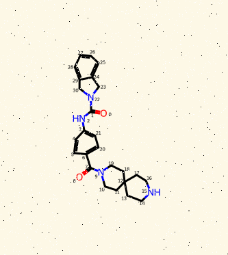 O=C(Nc1ccc(C(=O)N2CCC3(CCNCC3)CC2)cc1)N1Cc2ccccc2C1